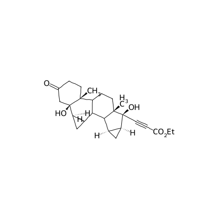 CCOC(=O)C#C[C@]1(O)[C@H]2C[C@H]2C2C3C(CC[C@@]21C)[C@@]1(C)CCC(=O)C[C@@]1(O)[C@@H]1C[C@H]31